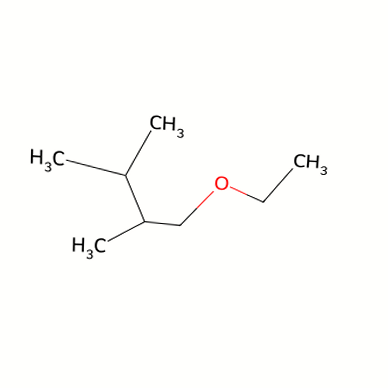 CCOCC(C)C(C)C